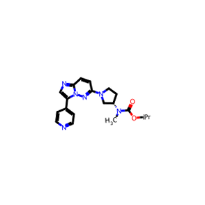 CC(C)OC(=O)N(C)[C@H]1CCN(c2ccc3ncc(-c4ccncc4)n3n2)C1